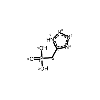 O=P(O)(O)Cc1nnn[nH]1